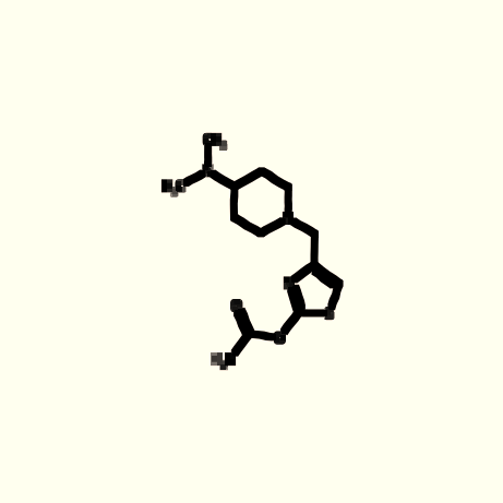 CN(C)C1CCN(Cc2csc(OC(N)=O)n2)CC1